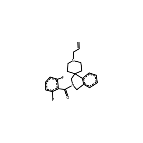 C=CCN1CCC2(CC1)CN(C(=O)c1c(F)cccc1F)Cc1ccccc12